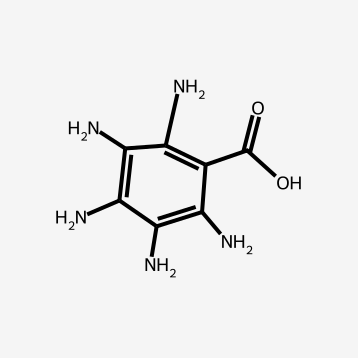 Nc1c(N)c(N)c(C(=O)O)c(N)c1N